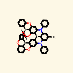 Cc1cc2c3c(c1)N(c1ccccc1)c1cc4c5c(c1B3c1cc3c(cc1N2c1ccccc1)Oc1cccc2c1B3c1ccccc1O2)Oc1ccccc1B5c1ccccc1O4